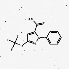 NC(=O)c1cc(OC(F)(F)F)nn1-c1ccccc1